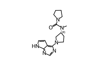 CN(C(=O)N1CCCC1)[C@@H]1CCN(c2ncnc3[nH]ccc23)C1